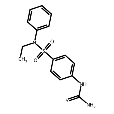 CCN(c1ccccc1)S(=O)(=O)c1ccc(NC(N)=S)cc1